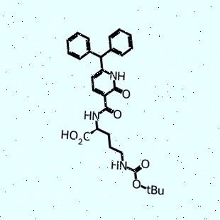 CC(C)(C)OC(=O)NCCC[C@H](NC(=O)c1ccc(C(c2ccccc2)c2ccccc2)[nH]c1=O)C(=O)O